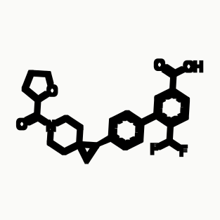 O=C(O)c1ccc(C(F)F)c(-c2ccc([C@H]3CC34CCN(C(=O)C3CCCO3)CC4)cc2)c1